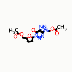 CC(=O)OCC1[CH][CH]C(n2nnc3c(nnn3COC(C)=O)c2=O)O1